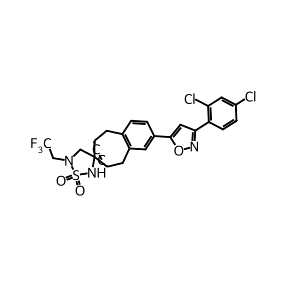 O=S1(=O)NC2(CN1CC(F)(F)F)C1CCC2Cc2cc(-c3cc(-c4ccc(Cl)cc4Cl)no3)ccc2C1